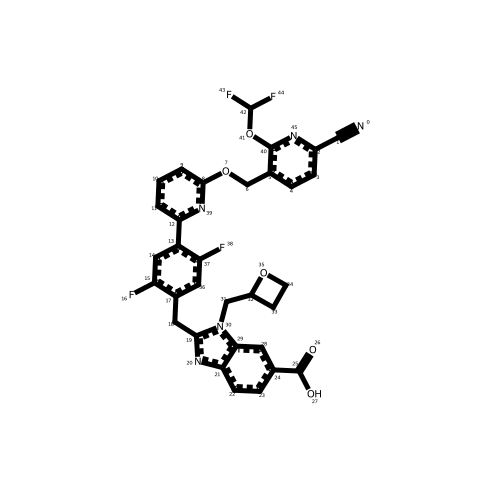 N#Cc1ccc(COc2cccc(-c3cc(F)c(Cc4nc5ccc(C(=O)O)cc5n4CC4CCO4)cc3F)n2)c(OC(F)F)n1